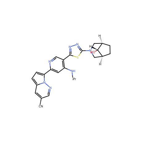 CC(C)Nc1cc(-c2ccc3cc(C#N)cnn23)ncc1-c1nnc(N2C[C@H]3CC[C@@H](C2)[C@@H]3O)s1